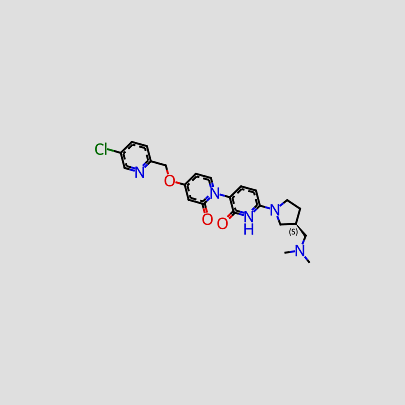 CN(C)C[C@@H]1CCN(c2ccc(-n3ccc(OCc4ccc(Cl)cn4)cc3=O)c(=O)[nH]2)C1